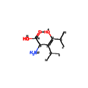 CC(C)/C(O)=C(\C(C)C)C(N)C(=O)O